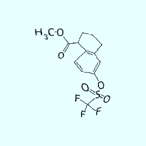 COC(=O)C1CCCc2cc(OS(=O)(=O)C(F)(F)F)ccc21